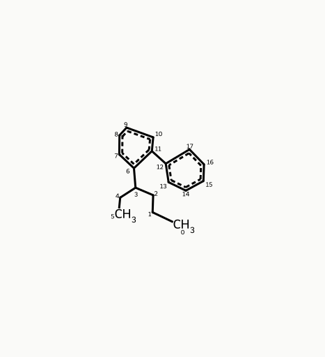 CCCC(CC)c1ccccc1-c1ccccc1